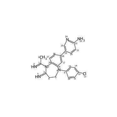 CC(=N)N1C(=N)CCN(c2ccc(Cl)cc2)c2cc(-c3ccc(N)nc3)ccc21